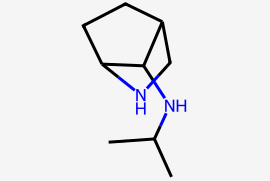 CC(C)NC1C2CCC1NC2